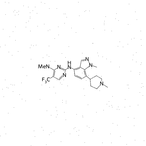 CNc1nc(Nc2ccc(C3CCN(C)CC3)c3c2cnn3C)ncc1C(F)(F)F